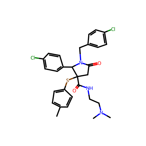 Cc1ccc(SC2(C(=O)NCCN(C)C)CC(=O)N(Cc3ccc(Cl)cc3)C2c2ccc(Cl)cc2)cc1